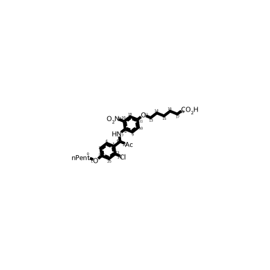 CCCCCOc1ccc(C(Nc2ccc(OCCCCCC(=O)O)cc2[N+](=O)[O-])C(C)=O)c(Cl)c1